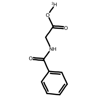 [2H]OC(=O)CNC(=O)c1ccccc1